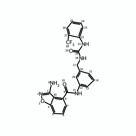 Nc1noc2cccc(C(=O)Nc3cccc(CNC(=O)Nc4ccccc4C(F)(F)F)c3)c12